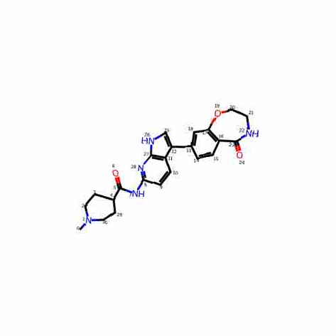 CN1CCC(C(=O)Nc2ccc3c(-c4ccc5c(c4)OCCNC5=O)c[nH]c3n2)CC1